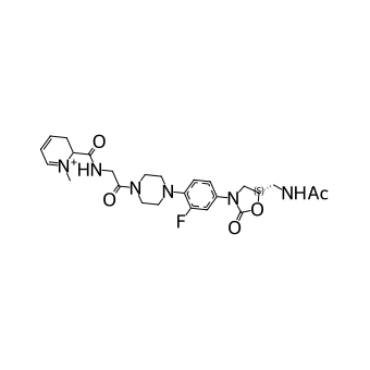 CC(=O)NC[C@H]1CN(c2ccc(N3CCN(C(=O)CNC(=O)C4CC=CC=[N+]4C)CC3)c(F)c2)C(=O)O1